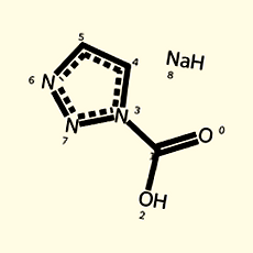 O=C(O)n1ccnn1.[NaH]